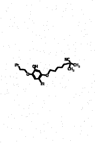 CCc1cc(OCCC(C)C)c(O)cc1OCCCCCC(C)(C)C#N